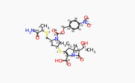 CC(SC[C@@H]1C[C@H](SC2=C(C(=O)O)N3C(=O)[C@H]([C@@H](C)O)[C@H]3[C@H]2C)CN1C(=O)OCc1ccc([N+](=O)[O-])cc1)C(N)=O